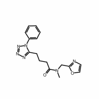 CN(Cc1ncco1)C(=O)CCCc1nnnn1-c1ccccc1